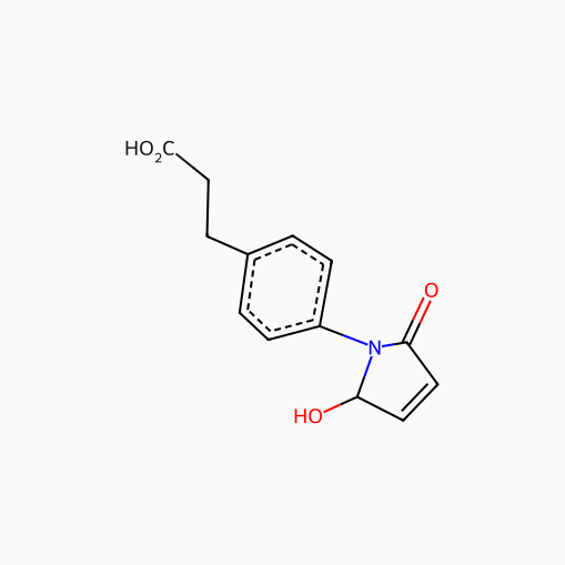 O=C(O)CCc1ccc(N2C(=O)C=CC2O)cc1